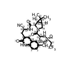 Cc1ccc2[nH]c(=O)c(C[C@@H](C#N)NC(=O)[C@@H]3[C@@H]4[C@H](CN3C(=O)[C@@H](NS(=O)(=O)CC(F)(F)F)C(C)(C)C)C4(C)C)cc2c1